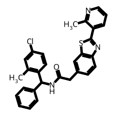 Cc1cc(Cl)ccc1C(NC(=O)Cc1ccc2nc(-c3cccnc3C)sc2c1)c1ccccc1